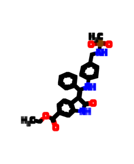 CCOC(=O)c1ccc2c(c1)NC(=O)/C2=C(\Nc1ccc(CNS(C)(=O)=O)cc1)c1ccccc1